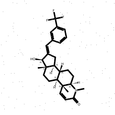 CN1C(=O)C=C[C@]2(C)[C@H]3CC[C@]4(C)[C@@H](O)C(=Cc5cccc(C(F)(F)F)c5)C[C@H]4[C@@H]3CC[C@@H]12